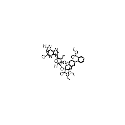 CCOC(=O)c1ccccc1-c1ccc(CC(OC2[C@H]3O[C@@H](n4cnc5c(N)nc(Cl)nc54)[C@@H](F)[C@@]23O)(C(=O)OCC)C(=O)OCC)cc1